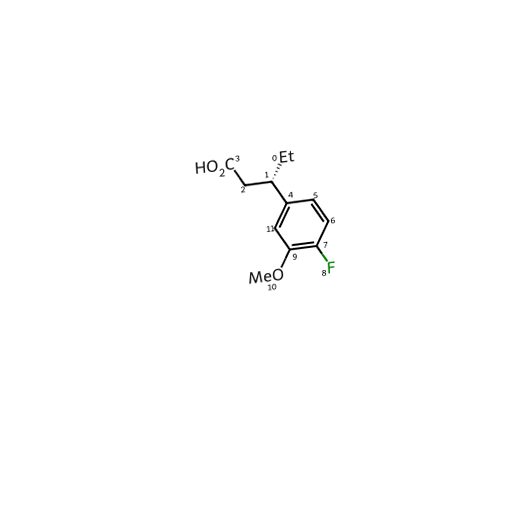 CC[C@@H](CC(=O)O)c1ccc(F)c(OC)c1